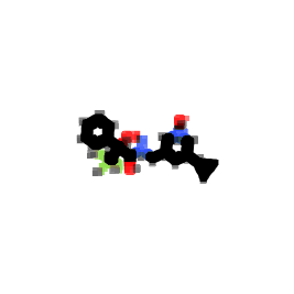 O=C(NCc1cc(C2CC2)c[n+]([O-])c1)C(O)(c1ccccc1)C(F)(F)F